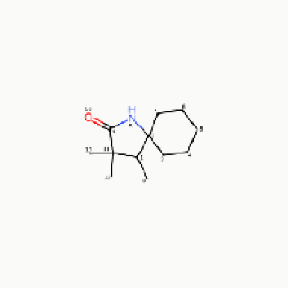 CC1C2(CCCCC2)NC(=O)C1(C)C